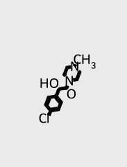 CN1CCN(C(=O)C(O)c2ccc(Cl)cc2)CC1